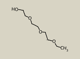 CCO[CH]COCCOCCO